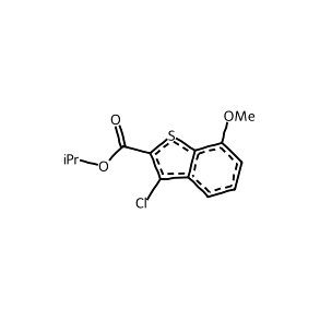 COc1cccc2c(Cl)c(C(=O)OC(C)C)sc12